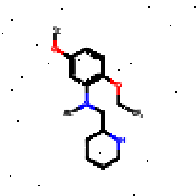 CCOc1ccc(OCC(F)(F)F)c(N(CC2CCCCN2)C(C)=O)c1